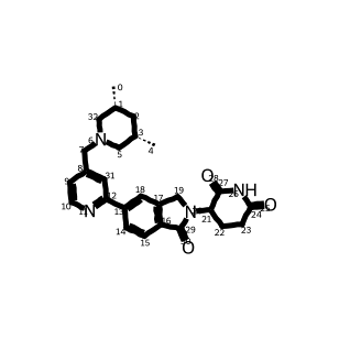 C[C@@H]1C[C@H](C)CN(Cc2ccnc(-c3ccc4c(c3)CN(C3CCC(=O)NC3=O)C4=O)c2)C1